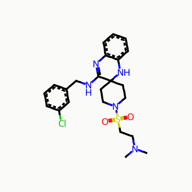 CN(C)CCS(=O)(=O)N1CCC2(CC1)Nc1ccccc1N=C2NCc1cccc(Cl)c1